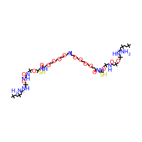 CN(CCOCCOCCOCCOCCC(=O)NCC(C)(S)COCC(C)(C)CNC(=O)CN(C)OCC(C)(C)CN/C=C(\N)CC(C)(C)CCC(C)(C)C)CCOCCOCCOCCOCCC(=O)NCC(C)(S)COCC(C)(C)CNC(=O)CC(C)(C)COCC(C)(C)CN/C=C(\N)CC(C)(C)CCC(C)(C)C